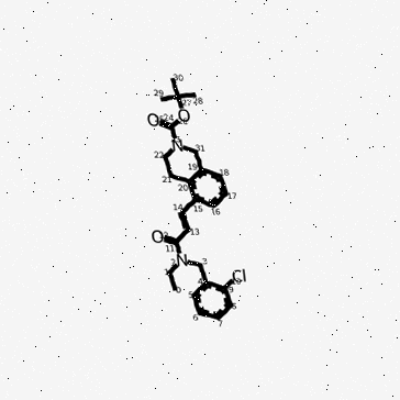 CCN(Cc1ccccc1Cl)C(=O)C=Cc1cccc2c1CCN(C(=O)OC(C)(C)C)C2